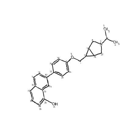 CC(C)N1CC2C(COc3ccc(-c4ccc5ccnc(O)c5c4)cc3)C2C1